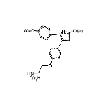 COc1ccc(-n2nc(OCC(C)C)cc2-c2ccc(OCCNC(=O)O)cc2)cc1